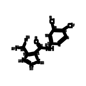 O=C(Nc1ccc(Cl)c(Cl)c1)c1snnc1C(F)F